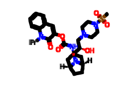 CC(C)n1c(=O)c(OC(=O)N[C@@H]2C[C@H]3CC[C@@H](C2)N3C[C@@H](O)CN2CCN(S(C)(=O)=O)CC2)cc2ccccc21